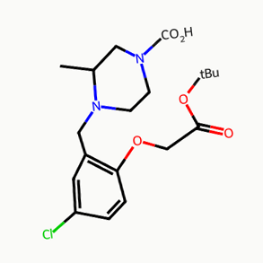 CC1CN(C(=O)O)CCN1Cc1cc(Cl)ccc1OCC(=O)OC(C)(C)C